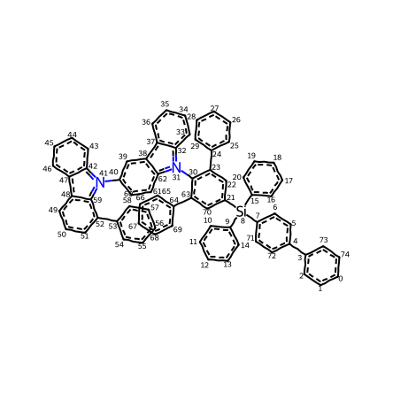 c1ccc(-c2ccc([Si](c3ccccc3)(c3ccccc3)c3cc(-c4ccccc4)c(-n4c5ccccc5c5cc(-n6c7ccccc7c7cccc(-c8ccccc8)c76)ccc54)c(-c4ccccc4)c3)cc2)cc1